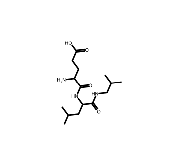 CC(C)CNC(=O)C(CC(C)C)NC(=O)C(N)CCC(=O)O